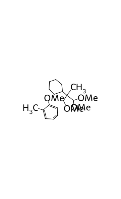 COCC(C)(C1CCCCC1)C(OC)OC.COc1ccccc1C